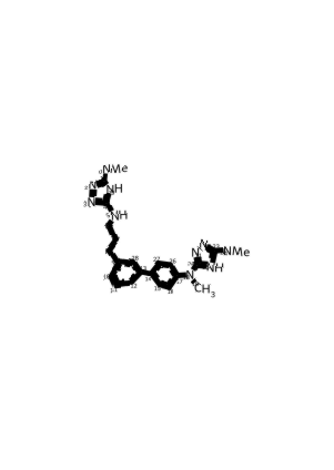 CNc1nnc(NCCCc2cccc(-c3ccc(N(C)c4nnc(NC)[nH]4)cc3)c2)[nH]1